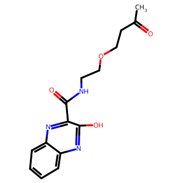 CC(=O)CCOCCNC(=O)c1nc2ccccc2nc1O